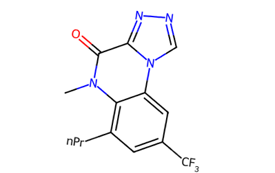 CCCc1cc(C(F)(F)F)cc2c1n(C)c(=O)c1nncn12